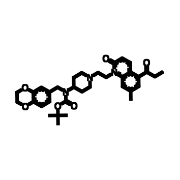 CCC(=O)c1cc(C)cc2c1ccc(=O)n2CCN1CCC(N(Cc2ccc3c(c2)OCCO3)C(=O)OC(C)(C)C)CC1